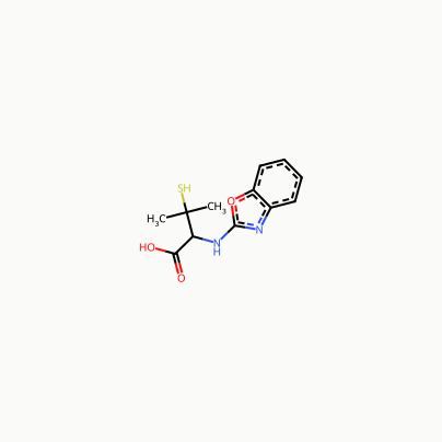 CC(C)(S)C(Nc1nc2ccccc2o1)C(=O)O